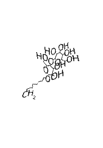 C=CCCCCCCO[C@@H]1OC(CO)[C@@H](O[C@@H]2OC(CO)[C@H](O)C(O)C2O)C(O)C1O